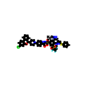 CNCC[C@H](CSc1ccccc1)Nc1ccc(S(=O)(=O)NC(=O)c2ccc(N3CCC([C@@H](O)c4ccccc4-c4ccc(Cl)cc4)CC3)cc2)cc1S(=O)(=O)C(F)(F)F